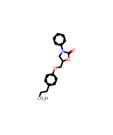 CCOC(=O)CCc1ccc(OCC2CN(c3ccccc3)C(=O)O2)cc1